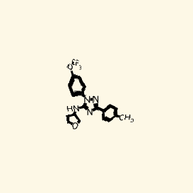 Cc1ccc(-c2nc(NC3CCOC3)n(-c3ccc(OC(F)(F)F)cc3)n2)cc1